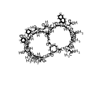 C[C@H](N)C(=O)N[C@H]1CSCC(=O)N2CCN3CCN(CC2)C(=O)CSC[C@H](NC(=O)[C@@H](C)NC(=O)[C@H](Cc2cccc4ccccc24)NC(=O)[C@H](CCC(=O)O)NC(=O)[C@H](CC(N)=O)NC(=O)[C@@H](C)NC1=O)C(=O)N[C@@H](CCC(=O)O)C(=O)N[C@@H](CC(=O)O)C(=O)N[C@@H](Cc1ccccc1)C(=O)N[C@@H](Cc1ccc(O)cc1)C(=O)NC(CC(=O)O)C(=O)N[C@@H](C(C)(C)C)C(=O)N[C@H](C(N)=O)CSCC3=O